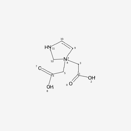 O=C(O)C[N+]1(CC(=O)O)C=CNC1